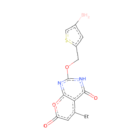 Bc1csc(COc2nc3oc(=O)cc(CC)c3c(=O)[nH]2)c1